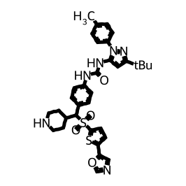 Cc1ccc(-n2nc(C(C)(C)C)cc2NC(=O)Nc2ccc(C(C3CCNCC3)S(=O)(=O)c3ccc(-c4cnco4)s3)cc2)cc1